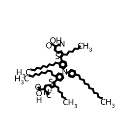 [C-]#[N+]/C(=C\c1cc(CCCCCC)c(-c2ccc(N(c3ccc(CCCCCCCCCCCC)cc3)c3ccc(-c4sc(/C=C(\C#N)C(=O)O)cc4CCCCCC)c(CCCCCCCCCC)c3)cc2CCCCCCCCCC)s1)C(=O)O